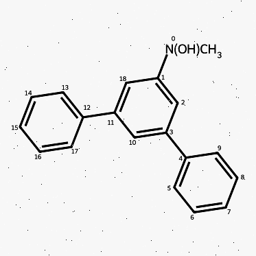 CN(O)c1cc(-c2ccccc2)cc(-c2ccccc2)c1